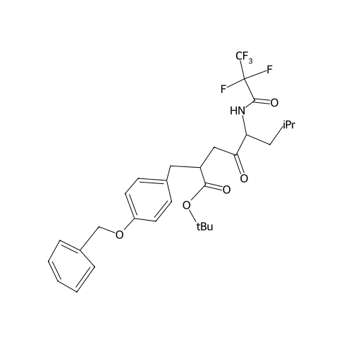 CC(C)CC(NC(=O)C(F)(F)C(F)(F)F)C(=O)CC(Cc1ccc(OCc2ccccc2)cc1)C(=O)OC(C)(C)C